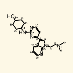 CN(C)CCn1cc(-c2ccnc(NC3CCC(O)CC3)n2)c2cccnc21